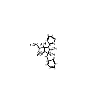 OCC(O)C(O)(Cc1ccccc1)C(O)C(O)(CO)Cc1ccccc1